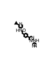 Cn1cc(Nc2ncc(-c3ccc(CC(=O)Nc4ccnc(C5CC5)c4)cc3)cn2)cn1